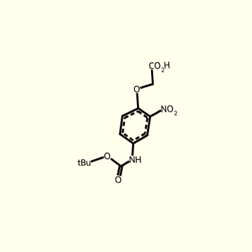 CC(C)(C)OC(=O)Nc1ccc(OCC(=O)O)c([N+](=O)[O-])c1